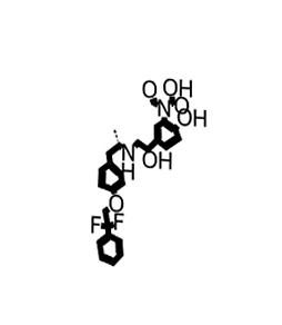 C[C@@H](Cc1ccc(OCC(F)(F)c2ccccc2)cc1)NC[C@@H](O)c1ccc(O)c(N(C=O)C(=O)O)c1